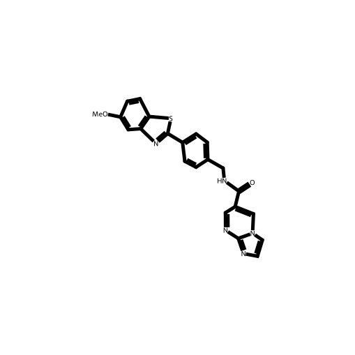 COc1ccc2sc(-c3ccc(CNC(=O)c4cnc5nccn5c4)cc3)nc2c1